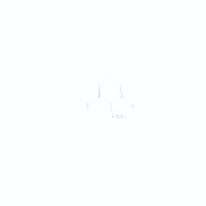 CC(C)c1cccc2[nH]cc(F)c12